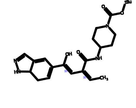 C/C=C(/C=C(\O)C1=CCC2NN=CC2=C1)C(=O)NC1CCN(C(=O)OC(C)(C)C)CC1